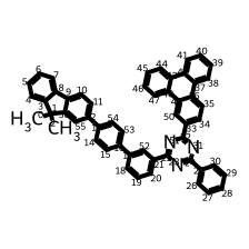 CC1(C)c2ccccc2-c2ccc(-c3ccc(-c4cccc(-c5nc(-c6ccccc6)nc(-c6ccc7c8ccccc8c8ccccc8c7c6)n5)c4)cc3)cc21